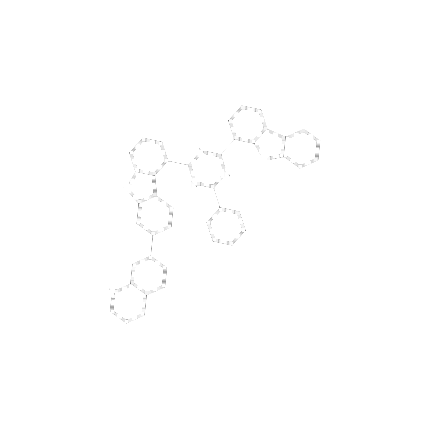 c1ccc(-c2nc(-c3cccc4c3oc3ccccc34)nc(-c3cccc4sc5cc(-c6ccc7cccnc7c6)ccc5c34)n2)cc1